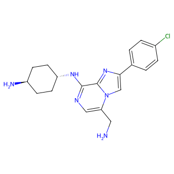 NCc1cnc(N[C@H]2CC[C@H](N)CC2)c2nc(-c3ccc(Cl)cc3)cn12